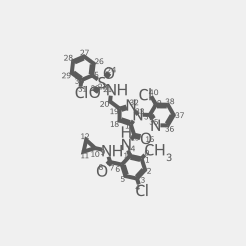 Cc1cc(Cl)cc(C(=O)NC2CC2)c1NC(=O)c1cc(CNS(=O)(=O)c2ccccc2Cl)nn1-c1ncccc1Cl